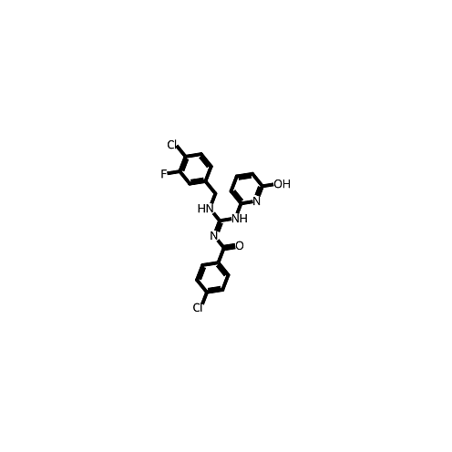 O=C(/N=C(/NCc1ccc(Cl)c(F)c1)Nc1cccc(O)n1)c1ccc(Cl)cc1